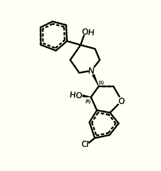 O[C@@H]1c2cc(Cl)ccc2OC[C@@H]1N1CCC(O)(c2ccccc2)CC1